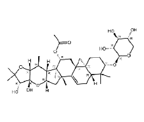 CC(=O)O[C@@H]1C[C@@]23C[C@@]24CC[C@H](O[C@@H]2OC[C@@H](O)[C@H](O)[C@H]2O)C(C)(C)[C@@H]4CC=C3[C@]2(C)C[C@@H]3O[C@@]4(O)[C@H](OC(C)(C)[C@H]4O)[C@@H](C)[C@@H]3[C@@]12C